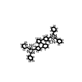 N#Cc1cc(-c2ccccc2-c2ccccc2-c2ccc(-c3nc(-c4ccccc4)nc(-c4ccccc4)n3)c(C#N)c2)ccc1-c1nc(-c2ccccc2)nc(-c2ccccc2)n1